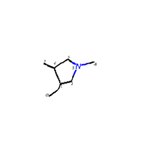 CC1CN(C)CC1C